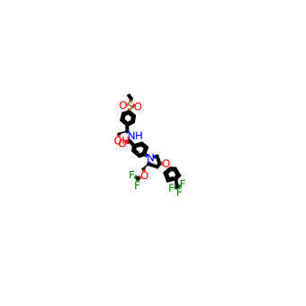 CCS(=O)(=O)c1ccc([C@H](CO)NC(=O)c2ccc(N3CC(Oc4ccc(C(F)(F)F)cc4)C[C@H]3COC(F)F)cc2)cc1